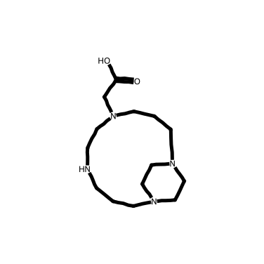 O=C(O)CN1CCCN2CCN(CCCNCC1)CC2